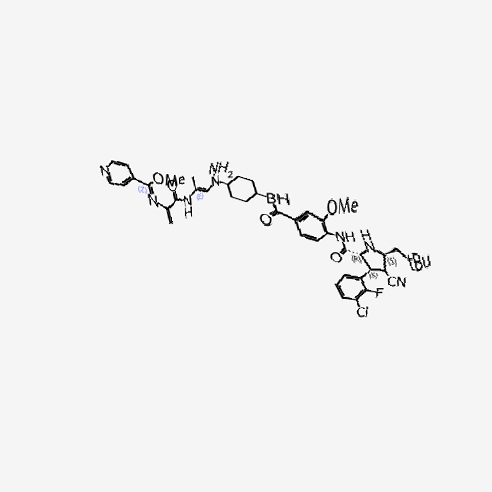 C=C(/N=C(\OC)c1ccncc1)C(=O)N/C(C)=C/N(N)C1CCC(BC(=O)c2ccc(NC(=O)[C@@H]3N[C@@H](CC(C)(C)C)C(C#N)[C@H]3c3cccc(Cl)c3F)c(OC)c2)CC1